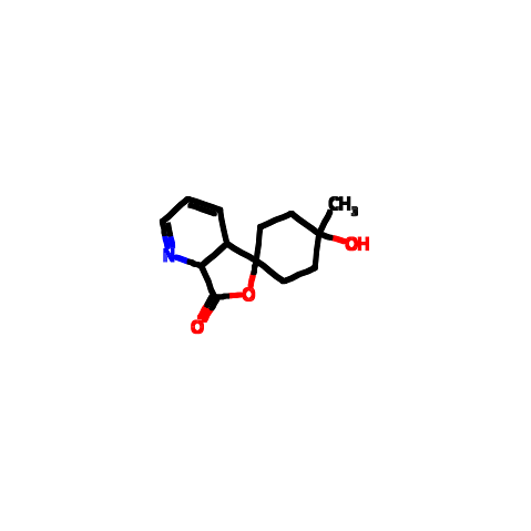 CC1(O)CCC2(CC1)OC(=O)C1N=CC=CC12